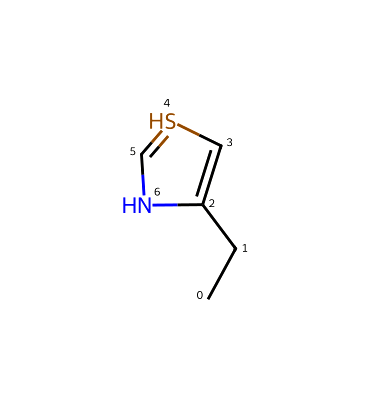 CCC1=C[SH]=CN1